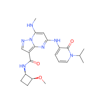 CNc1cc(Nc2cccn(C(C)C)c2=O)nc2c(C(=O)N[C@@H]3CC[C@@H]3OC)cnn12